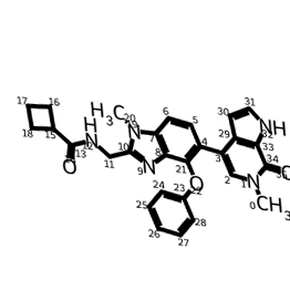 Cn1cc(-c2ccc3c(nc(CNC(=O)C4CCC4)n3C)c2Oc2ccccc2)c2cc[nH]c2c1=O